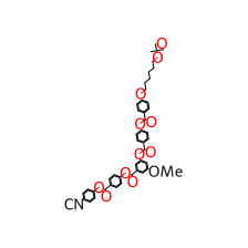 [C-]#[N+]c1ccc(OC(=O)c2ccc(OC(=O)c3cc(OC)cc(OC(=O)c4ccc(OC(=O)c5ccc(OCCCCCCOC6(C)COC6)cc5)cc4)c3)cc2)cc1